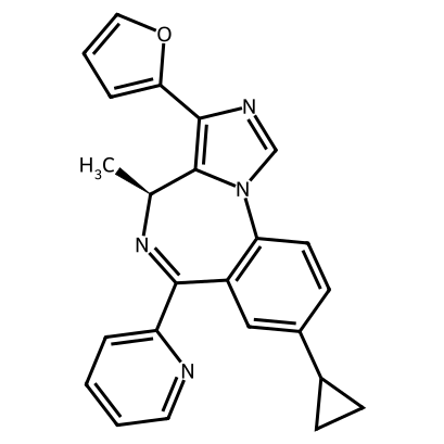 C[C@@H]1N=C(c2ccccn2)c2cc(C3CC3)ccc2-n2cnc(-c3ccco3)c21